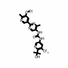 CCOc1cc(-c2ncc(NC(=O)Nc3cnc(C(C)(C)O)c(C(F)(F)F)c3)c(C)n2)cnc1C